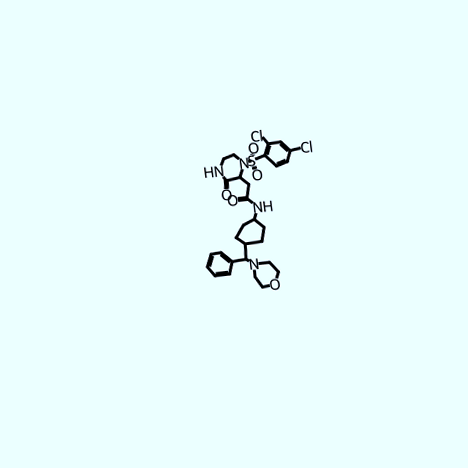 O=C(CC1C(=O)NCCN1S(=O)(=O)c1ccc(Cl)cc1Cl)NC1CCC(C(c2ccccc2)N2CCOCC2)CC1